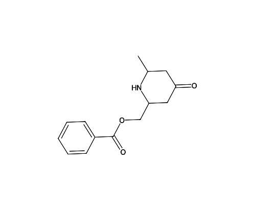 CC1CC(=O)CC(COC(=O)c2ccccc2)N1